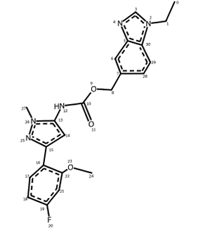 CCn1cnc2cc(COC(=O)Nc3cc(-c4ccc(F)cc4OC)nn3C)ccc21